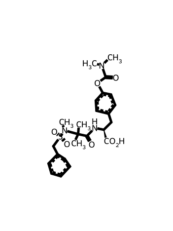 CN(C)C(=O)Oc1ccc(C[C@H](NC(=O)C(C)(C)N(C)S(=O)(=O)Cc2ccccc2)C(=O)O)cc1